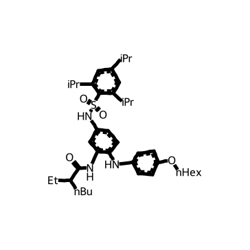 CCCCCCOc1ccc(Nc2ccc(NS(=O)(=O)c3c(C(C)C)cc(C(C)C)cc3C(C)C)cc2NC(=O)C(CC)CCCC)cc1